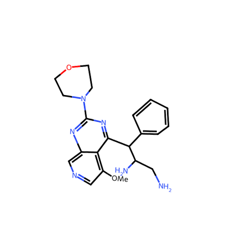 COc1cncc2nc(N3CCOCC3)nc(C(c3ccccc3)C(N)CN)c12